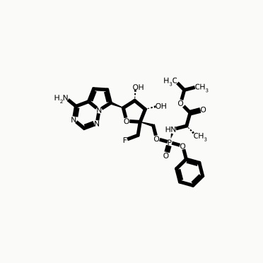 CC(C)OC(=O)[C@H](C)N[P@](=O)(OC[C@@]1(CF)O[C@@H](c2ccc3c(N)ncnn23)[C@H](O)[C@@H]1O)Oc1ccccc1